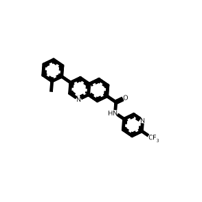 Cc1ccccc1-c1cnc2cc(C(=O)Nc3ccc(C(F)(F)F)nc3)ccc2c1